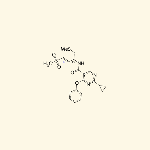 CSC[C@@H](/C=C/S(C)(=O)=O)NC(=O)c1cnc(C2CC2)nc1Oc1ccccc1